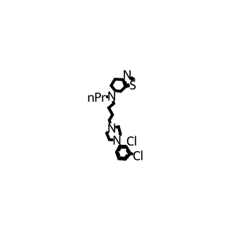 CCCN(CCCCN1CCN(c2cccc(Cl)c2Cl)CC1)C1CCc2ncsc2C1